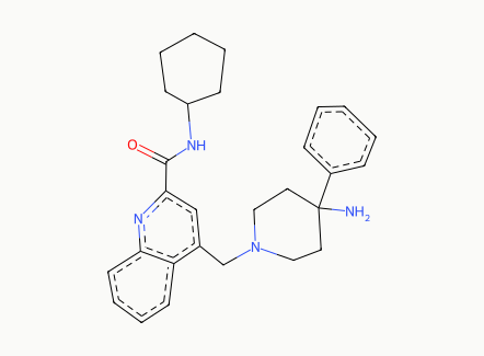 NC1(c2ccccc2)CCN(Cc2cc(C(=O)NC3CCCCC3)nc3ccccc23)CC1